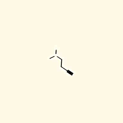 C#CCCN(C)CC